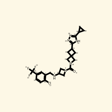 O=C(N1CC(NCc2cc(C(F)(F)F)ccc2Cl)C1)N1CC2(CC(c3nnc(C4CC4)[nH]3)C2)C1